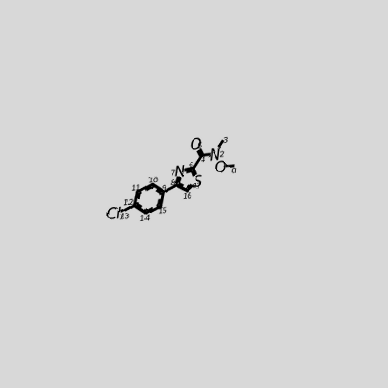 CON(C)C(=O)c1nc(-c2ccc(Cl)cc2)cs1